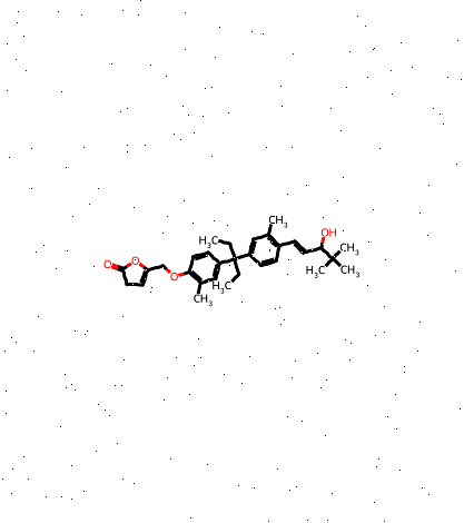 CCC(CC)(c1ccc(C=CC(O)C(C)(C)C)c(C)c1)c1ccc(OCC2=CCC(=O)O2)c(C)c1